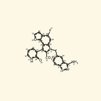 Nc1nsc2ccc(Cn3c(C(=O)O)c(-c4ccc[nH]c4=O)c4c5occc5c(F)cc43)cc12